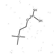 C[N+](C)(C)CCO[PH-](S)S